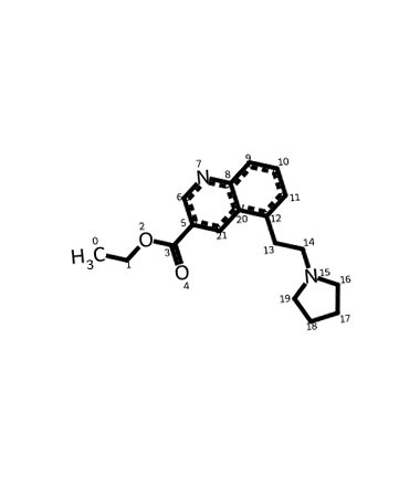 CCOC(=O)c1cnc2cccc(CCN3CCCC3)c2c1